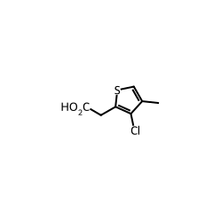 Cc1csc(CC(=O)O)c1Cl